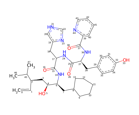 C=C[C@H](C[C@H](O)[C@H](CC1CCCCC1)NC(=O)C(Cc1c[nH]cn1)NC(=O)[C@H](Cc1ccc(O)cc1)NC(=O)c1ccccn1)C(C)C